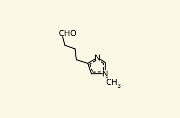 Cn1cnc(CCCC=O)c1